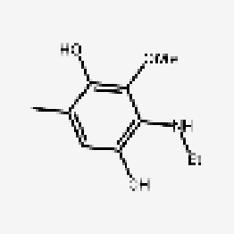 CCNc1c(O)cc(C)c(O)c1OC